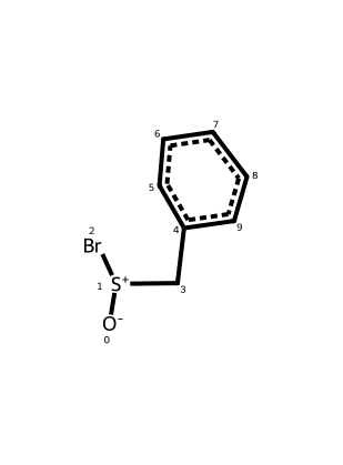 [O-][S+](Br)Cc1ccccc1